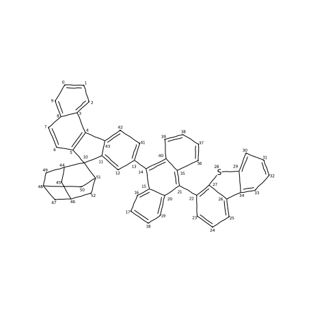 c1ccc2c3c(ccc2c1)C1(c2cc(-c4c5ccccc5c(-c5cccc6c5sc5ccccc56)c5ccccc45)ccc2-3)C2CC3CC(C2)CC1C3